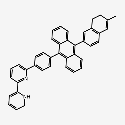 CC1=Cc2ccc(-c3c4ccccc4c(-c4ccc(-c5cccc(C6=CC=CCN6)n5)cc4)c4ccccc34)cc2CC1